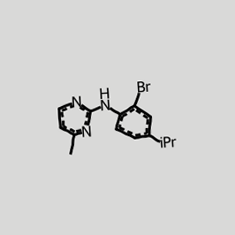 Cc1ccnc(Nc2ccc(C(C)C)cc2Br)n1